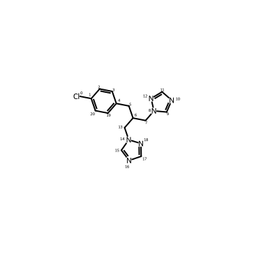 Clc1ccc(CC(Cn2cncn2)Cn2cncn2)cc1